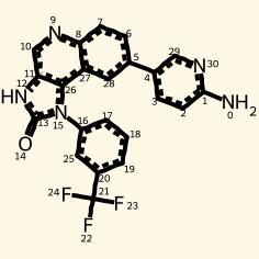 Nc1ccc(-c2ccc3ncc4[nH]c(=O)n(-c5cccc(C(F)(F)F)c5)c4c3c2)cn1